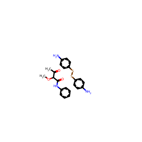 COC(C(C)=O)C(=O)Nc1ccccc1.Nc1ccc(SSc2ccc(N)cc2)cc1